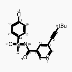 CC(C)(C)C#Cc1cncc(C(=O)N=S(C)(=O)c2ccc(Cl)cc2)c1